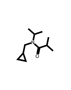 CC(C)C(=O)N(CC1CC1)C(C)C